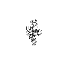 Fc1ccc(CNc2ncc3nc(-c4ccccn4)n(C[C@@H]4CCCNC4)c3n2)cc1F